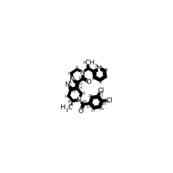 CC(c1ccccn1)N1CCn2nc3c(c2C1=O)CN(C(=O)c1ccc(Cl)c(Cl)c1)[C@H](C)C3